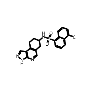 O=S(=O)(NC1CCc2c(cnc3[nH]ncc23)C1)c1cccc2c(Cl)cccc12